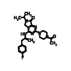 C=C(Cc1ccc(F)cc1)Nc1nc(N2CCN(C(C)=O)CC2)nc2c1CN(C(C)C)C2=O